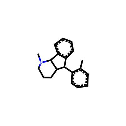 Cc1ccccc1C1c2ccccc2C2C1CCCN2C